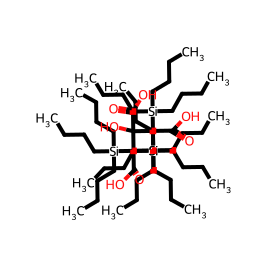 CCCC[Si](CCCC)(CCCC)C(C(=O)O)(C(O)(C(=O)O)C(C(=O)O)([Si](CCCC)(CCCC)CCCC)[Si](CCCC)(CCCC)CCCC)[Si](CCCC)(CCCC)CCCC